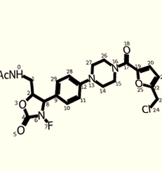 CC(=O)NCC1OC(=O)N(F)C1c1ccc(N2CCN(C(=O)c3ccc(CCl)o3)CC2)cc1